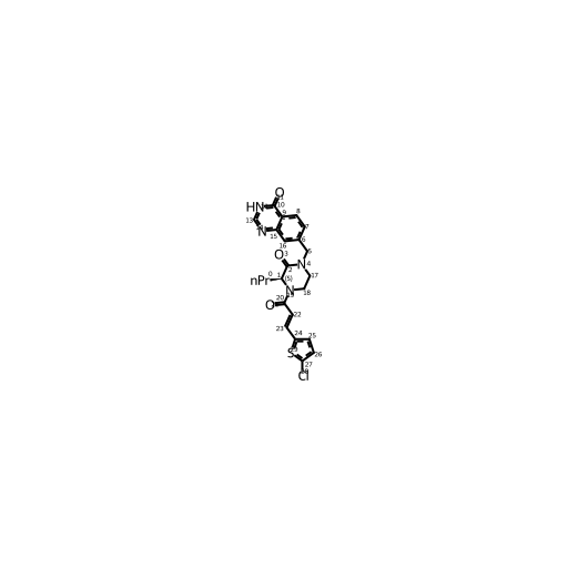 CCC[C@H]1C(=O)N(Cc2ccc3c(=O)[nH]cnc3c2)CCN1C(=O)C=Cc1ccc(Cl)s1